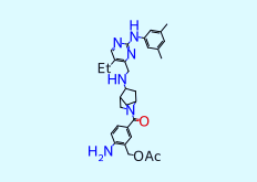 CCc1cnc(Nc2cc(C)cc(C)c2)nc1CNC1CC2CC1CN2C(=O)c1ccc(N)c(COC(C)=O)c1